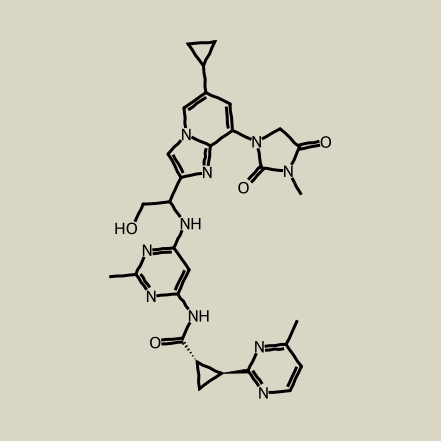 Cc1ccnc([C@H]2C[C@@H]2C(=O)Nc2cc(NC(CO)c3cn4cc(C5CC5)cc(N5CC(=O)N(C)C5=O)c4n3)nc(C)n2)n1